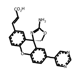 NC1=N[C@]2(CO1)c1cc(C=CC(=O)O)ccc1Oc1ccc(-c3cncnc3)cc12